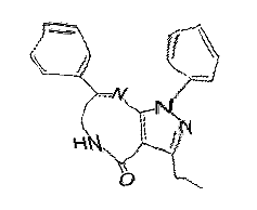 CCc1nn(-c2ccccc2)c2c1C(=O)NCC(c1ccccc1)=N2